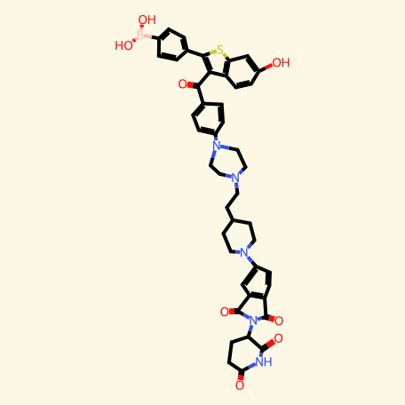 O=C1CCC(N2C(=O)c3ccc(N4CCC(CCN5CCN(c6ccc(C(=O)c7c(-c8ccc(B(O)O)cc8)sc8cc(O)ccc78)cc6)CC5)CC4)cc3C2=O)C(=O)N1